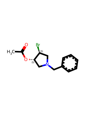 CC(=O)O[C@H]1CN(Cc2ccccc2)C[C@@H]1Br